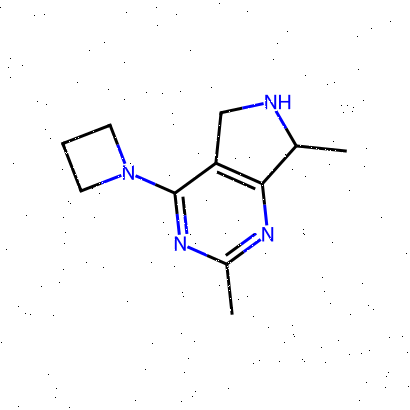 Cc1nc2c(c(N3CCC3)n1)CNC2C